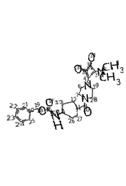 CN(C)c1c(N2CCN(C(=O)C3CCC(NC(=O)OCc4ccccc4)CC3)CC2)c(=O)c1=O